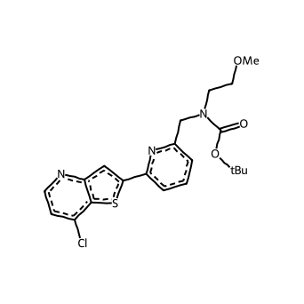 COCCN(Cc1cccc(-c2cc3nccc(Cl)c3s2)n1)C(=O)OC(C)(C)C